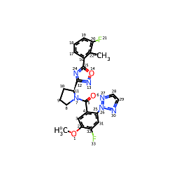 COc1cc(C(=O)N2CCC[C@H]2c2noc(-c3cccc(F)c3C)n2)c(-n2nccn2)cc1F